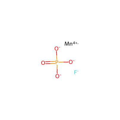 O=P([O-])([O-])[O-].[F-].[Mn+4]